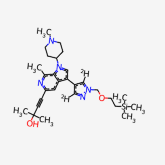 [2H]c1nn(COCC[Si](C)(C)C)c([2H])c1-c1cn(C2CCN(C)CC2)c2c(C)nc(C#CC(C)(C)O)cc12